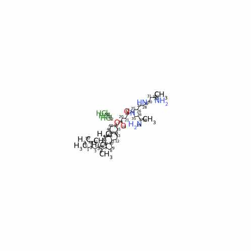 CC[C@H](CC[C@@H](C)C1CCC2C3CC=C4CC(OC(=O)CCC(=O)N(CCCCNCCC(C)N)CCC(C)N)CCC4(C)C3CCC21C)C(C)C.Cl.Cl.Cl